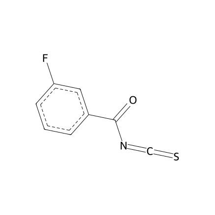 O=C(N=C=S)c1cccc(F)c1